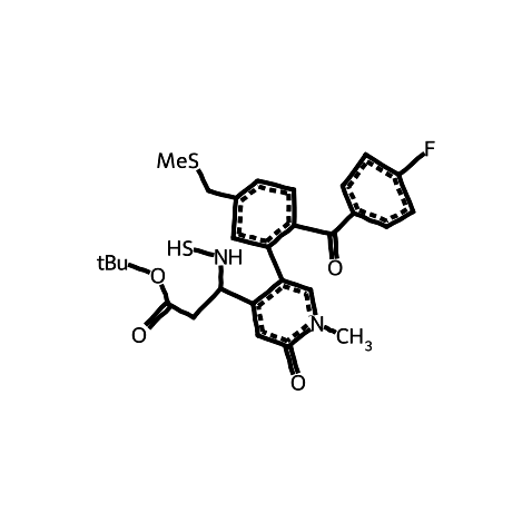 CSCc1ccc(C(=O)c2ccc(F)cc2)c(-c2cn(C)c(=O)cc2C(CC(=O)OC(C)(C)C)NS)c1